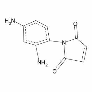 Nc1ccc(N2C(=O)C=CC2=O)c(N)c1